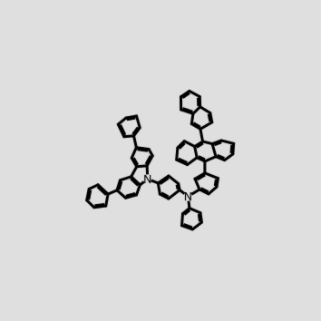 c1ccc(-c2ccc3c(c2)c2cc(-c4ccccc4)ccc2n3-c2ccc(N(c3ccccc3)c3cccc(-c4c5ccccc5c(-c5ccc6ccccc6c5)c5ccccc45)c3)cc2)cc1